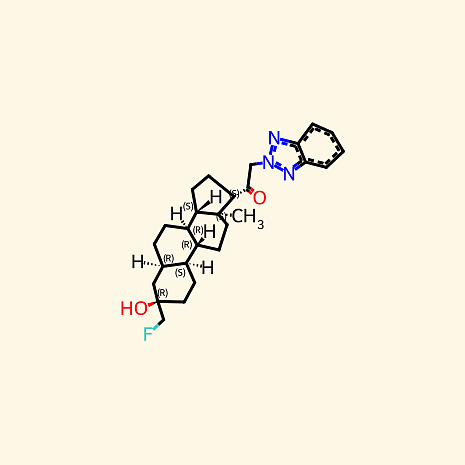 C[C@]12CC[C@H]3[C@@H](CC[C@@H]4C[C@@](O)(CF)CC[C@@H]43)[C@@H]1CC[C@@H]2C(=O)Cn1nc2ccccc2n1